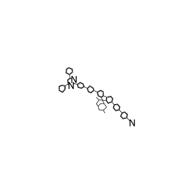 CC1CC2CC(C)C3(c4cc(-c5ccc(-c6ccc(C#N)cc6)cc5)ccc4-c4ccc(-c5ccc(-c6ccc(-c7nc(-c8ccccc8)cc(-c8ccccc8)n7)cc6)cc5)cc43)C(C1)C2